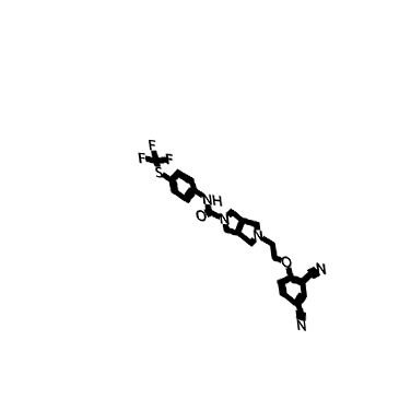 N#Cc1ccc(OCCN2CC3CN(C(=O)Nc4ccc(SC(F)(F)F)cc4)CC3C2)c(C#N)c1